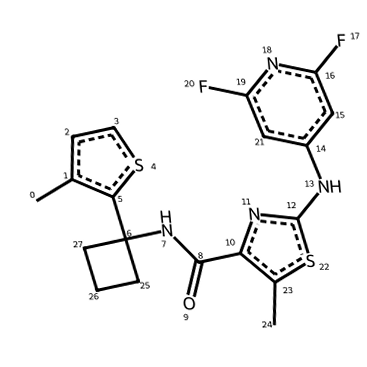 Cc1ccsc1C1(NC(=O)c2nc(Nc3cc(F)nc(F)c3)sc2C)CCC1